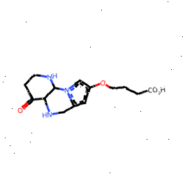 O=C(O)CCCOc1cc2n(c1)C1NCCC(=O)C1NC2